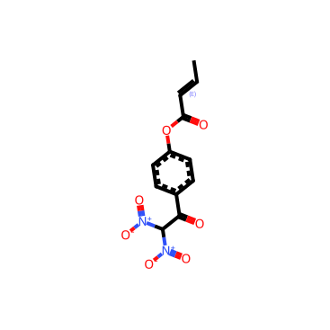 C/C=C/C(=O)Oc1ccc(C(=O)C([N+](=O)[O-])[N+](=O)[O-])cc1